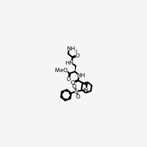 COC(=O)[C@@H](CNC(=O)CN)NC(=O)C1C2CCC(CC2)N1S(=O)(=O)c1ccccc1